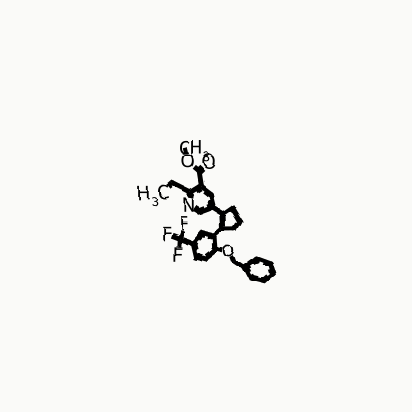 CCc1ncc(C2=C(c3cc(C(F)(F)F)ccc3OCc3ccccc3)CCC2)cc1C(=O)OC